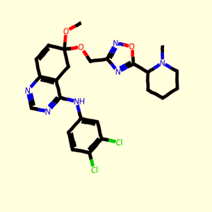 COC1(OCc2noc(C3CCCCN3C)n2)C=Cc2ncnc(Nc3ccc(Cl)c(Cl)c3)c2C1